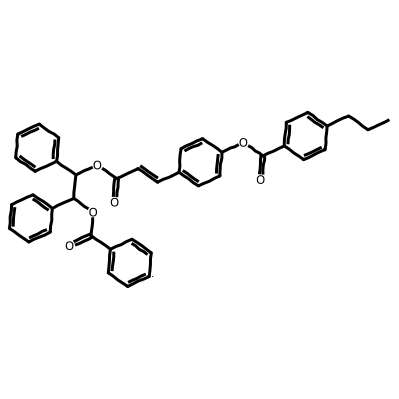 CCCc1ccc(C(=O)Oc2ccc(/C=C/C(=O)OC(c3ccccc3)C(OC(=O)c3cc[c]cc3)c3ccccc3)cc2)cc1